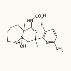 CC1(c2nc(N)ccc2F)CS2(O)NCCCCC2(C)C(NC(=O)O)=N1